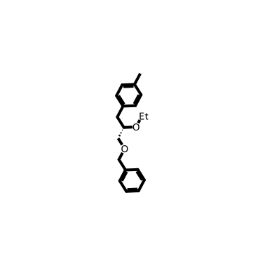 CCO[C@H](COCc1ccccc1)Cc1ccc(C)cc1